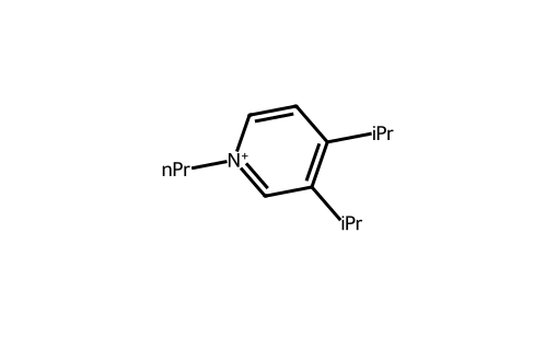 CCC[n+]1ccc(C(C)C)c(C(C)C)c1